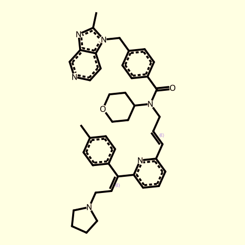 Cc1ccc(/C(=C\CN2CCCC2)c2cccc(/C=C/CN(C(=O)c3ccc(Cn4c(C)nc5cnccc54)cc3)C3CCOCC3)n2)cc1